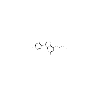 CCCCNCCc1cc(C)nc2c(-c3c(C)cc(C)cc3C)cn(C)c12